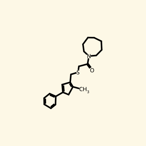 CC1=C(CSCC(=O)N2CCCCCCC2)C=C(c2ccccc2)C1